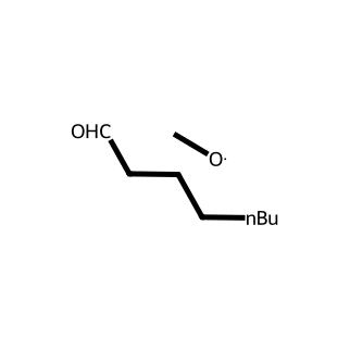 CCCCCCCC=O.C[O]